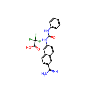 N=C(N)c1ccc2cc(NC(=O)Nc3ccccc3)ccc2c1.O=C(O)C(F)(F)F